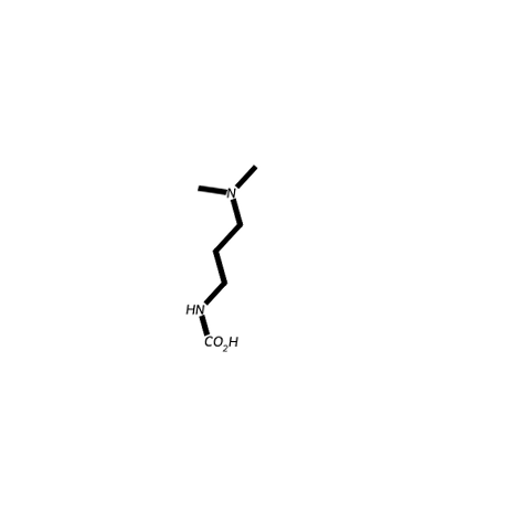 CN(C)CCCNC(=O)O